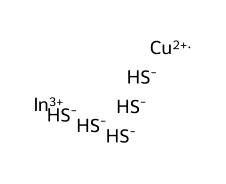 [Cu+2].[In+3].[SH-].[SH-].[SH-].[SH-].[SH-]